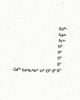 [Ga+3].[Ga+3].[Gd+3].[Gd+3].[O-2].[O-2].[O-2].[O-2].[O-2].[O-2].[O-2].[O-2].[O-2].[Sc+3].[Sc+3]